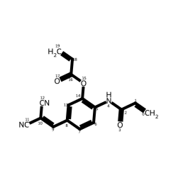 C=CC(=O)Nc1ccc(C=C(C#N)C#N)cc1OC(=O)C=C